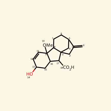 C=C1CC23CC1CCC2C1(OC)C=CC(O)CC1C3C(=O)O